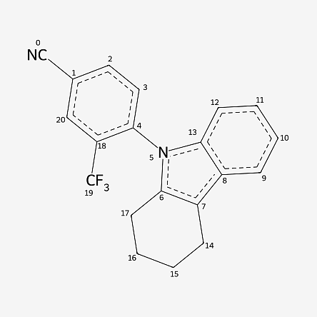 N#Cc1ccc(-n2c3c(c4ccccc42)CCCC3)c(C(F)(F)F)c1